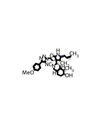 C=C1/C(=C\C=C/C)NC(=O)[C@]1(CCn1cc(-c2ccc(OC)cc2)nn1)[C@@H]1C[C@H]2[C@@H](CC[C@H](O)[C@@H]2C)CN1C#N